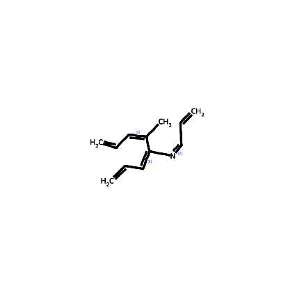 C=C\C=N/C(=C/C=C)C(/C)=C\C=C